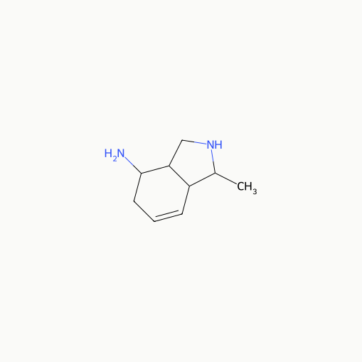 CC1NCC2C(N)CC=CC12